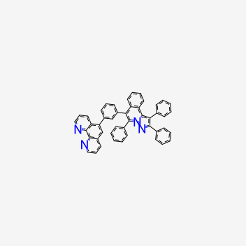 c1ccc(-c2nn3c(-c4ccccc4)c(-c4cccc(-c5cc6cccnc6c6ncccc56)c4)c4ccccc4c3c2-c2ccccc2)cc1